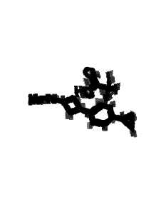 CNC1CC(c2ccc(C3CC3)cc2)C1.O=C(O)C(F)(F)F